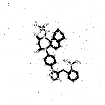 CN(C)c1ccccc1Cc1nnnn1-c1ccc(N2C(=O)CC(=O)N(OS(C)(=O)=O)c3c2ccc2ccccc32)cc1